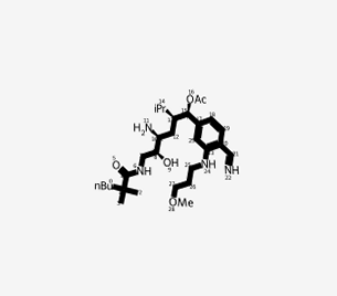 CCCCC(C)(C)C(=O)NC[C@H](O)[C@@H](N)C[C@@H](C(C)C)[C@@H](OC(C)=O)c1ccc(C=N)c(NCCCOC)c1